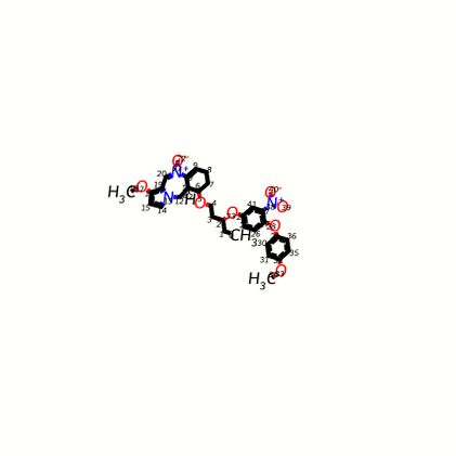 CCC(CCOC1CCC=C2[C@@H]1Cn1ccc(OC)c1C=[N+]2[O-])Oc1ccc(Oc2ccc(OC)cc2)c([N+](=O)[O-])c1